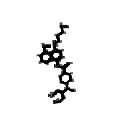 C=N/C(=C\NC)[S+]([O-])N1CCC(C(=O)Nc2ccc(NCCCOC)c3c(C=O)cccc23)CC1